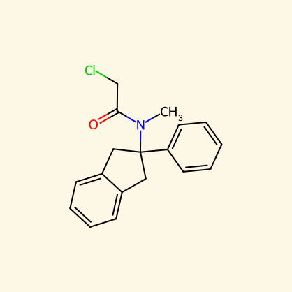 CN(C(=O)CCl)C1(c2ccccc2)Cc2ccccc2C1